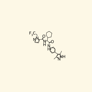 Cc1n[nH]c(C)c1-c1ccc(NC(=O)[C@@H](NC(=O)c2ccnn2CC(F)(F)F)C2CCCCC2)cc1